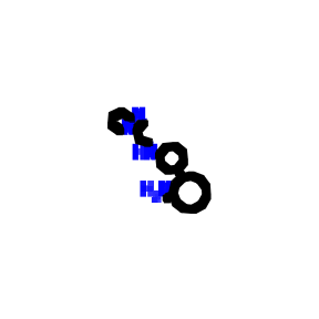 CC1(N)CCCCCCCCC(C2CCCCC(NCCc3cnc4ccccn34)CC2)C1